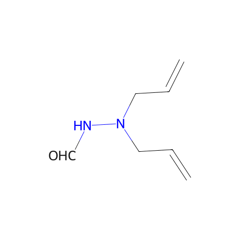 C=CCN(CC=C)NC=O